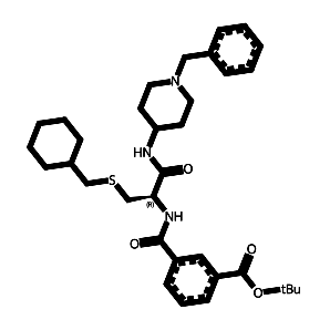 CC(C)(C)OC(=O)c1cccc(C(=O)N[C@@H](CSCC2CCCCC2)C(=O)NC2CCN(Cc3ccccc3)CC2)c1